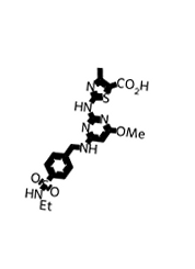 CCNS(=O)(=O)c1ccc(CNc2cc(OC)nc(Nc3nc(C)c(C(=O)O)s3)n2)cc1